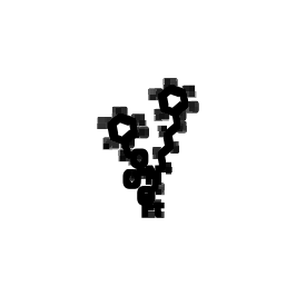 CCOCN(CCC=CCc1ccccc1)C(=O)OCc1ccccc1